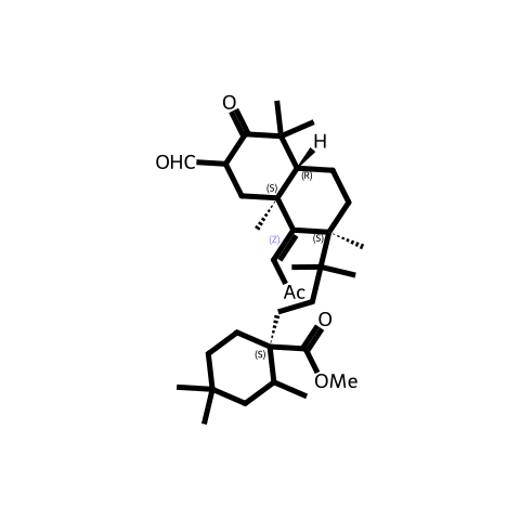 COC(=O)[C@]1(CCC(C)(C)[C@]2(C)CC[C@H]3C(C)(C)C(=O)C(C=O)C[C@]3(C)/C2=C/C(C)=O)CCC(C)(C)CC1C